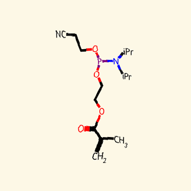 C=C(C)C(=O)OCCOP(OCCC#N)N(C(C)C)C(C)C